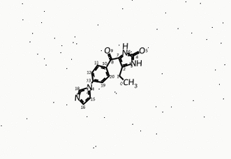 CCc1[nH]c(=O)[nH]c1C(=O)c1ccc(-n2ccnc2)cc1